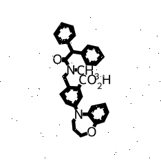 CN(Cc1ccc(N2CCCOc3ccccc32)cc1C(=O)O)C(=O)C(c1ccccc1)c1ccccc1